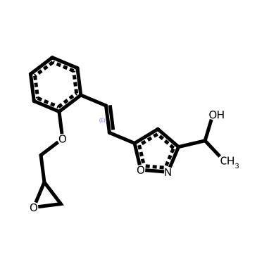 CC(O)c1cc(/C=C/c2ccccc2OCC2CO2)on1